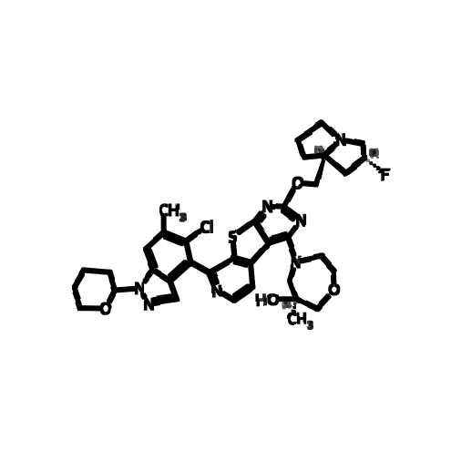 Cc1cc2c(cnn2C2CCCCO2)c(-c2nccc3c2sc2nc(OC[C@@]45CCCN4C[C@H](F)C5)nc(N4CCOC[C@@](C)(O)C4)c23)c1Cl